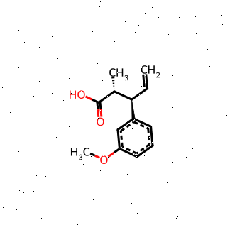 C=C[C@@H](c1cccc(OC)c1)[C@@H](C)C(=O)O